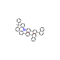 CC1(c2ccccc2)c2ccccc2-c2c(N(c3ccc(-c4ccc(-c5cccc6ccccc56)cc4)cc3)c3ccccc3-c3ccc(-c4cccc5ccccc45)cc3)cccc21